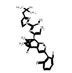 C=N/C(=N\C(=C/C)[C@@]12CC[C@@H](c3cc(-c4c(F)cccc4F)nnc31)C2(C)C)n1ccc(CC(C)(C)O)n1